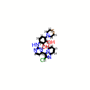 Oc1c(Nc2nccc(-c3c(Cl)nc4ccccn34)n2)ccc(N2CCSCC2)c1O